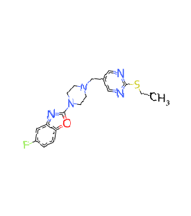 CCSc1ncc(CN2CCN(c3nc4cc(F)ccc4o3)CC2)cn1